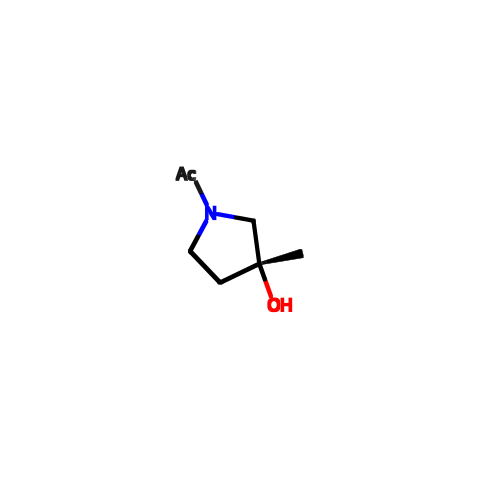 CC(=O)N1CC[C@@](C)(O)C1